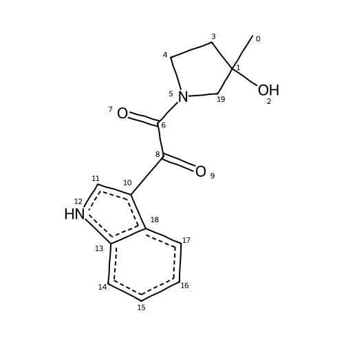 CC1(O)CCN(C(=O)C(=O)c2c[nH]c3ccccc23)C1